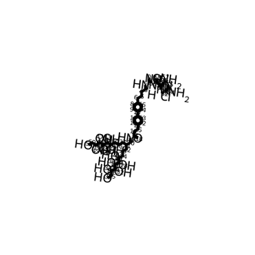 N=C(NCCCCc1ccc(-c2ccc(CCC(=O)NCC(CCC[C@H](O)[C@H](O)[C@@H](O)[C@H](O)[C@H](O)CO)CCC[C@H](O)[C@H](O)[C@@H](O)[C@H](O)[C@H](O)CO)cc2)cc1)NC(=O)c1nc(Cl)c(N)nc1N